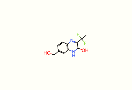 CC(F)(F)C1=Nc2ccc(CO)cc2NC1O